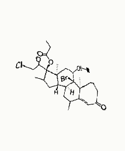 CCC(=O)O[C@]1(C(=O)CCl)C(C)C[C@H]2[C@@H]3CC(C)C4=CC(=O)CC[C@]4(C)[C@@]3(Br)C(O)C[C@@]21C